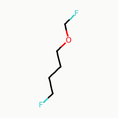 FCCCCOCF